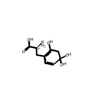 N[C@@H](CC1=C(O)CC(O)(O)C=C1)C(=O)O